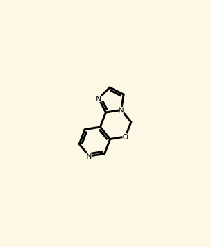 c1cc2c(cn1)OCn1ccnc1-2